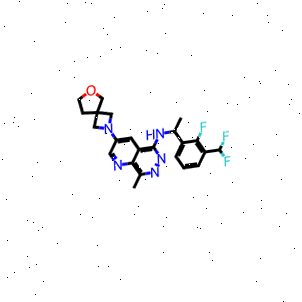 Cc1nnc(NC(C)c2cccc(C(F)F)c2F)c2cc(N3CC4(CCOC4)C3)cnc12